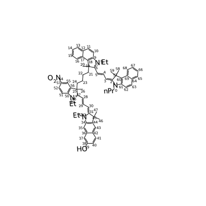 CCCN1C(=CC=CC2=[N+](CC)c3ccc4ccccc4c3C2(C)CCCCC2(C)C(C=CC=C3N(CC)c4cc5cc(O)ccc5cc4C3(C)C)=[N+](CC)c3ccc([N+](=O)[O-])cc32)C(C)(C)c2c1ccc1ccccc21